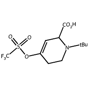 CC(C)(C)N1CCC(OS(=O)(=O)C(F)(F)F)=CC1C(=O)O